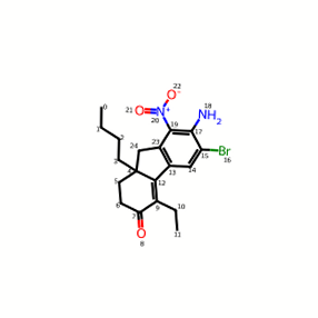 CCCCC12CCC(=O)C(CC)=C1c1cc(Br)c(N)c([N+](=O)[O-])c1C2